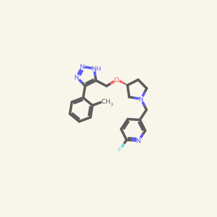 Cc1ccccc1-c1nn[nH]c1CO[C@H]1CCN(Cc2ccc(F)nc2)C1